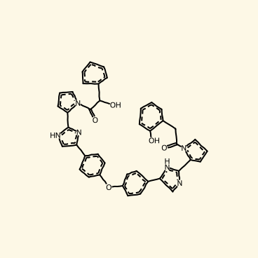 O=C(Cc1ccccc1O)n1cccc1-c1ncc(-c2ccc(Oc3ccc(-c4c[nH]c(-c5cccn5C(=O)C(O)c5ccccc5)n4)cc3)cc2)[nH]1